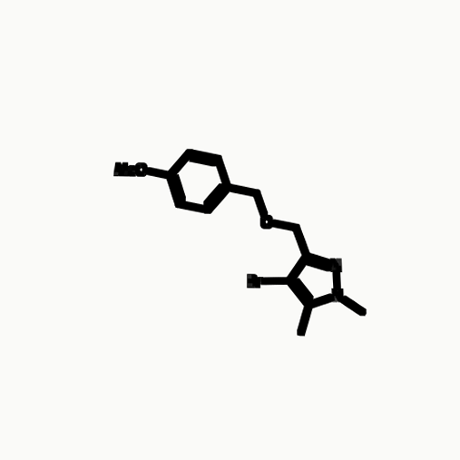 COc1ccc(COCc2nn(C)c(C)c2Br)cc1